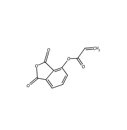 C=CC(=O)Oc1cccc2c1C(=O)OC2=O